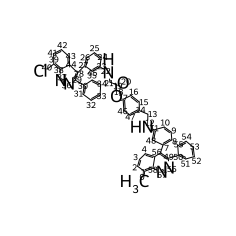 Cc1cccc2c(-c3cccc(NCc4ccc(OC(=O)CNc5cccc(-c6c(-c7ccccc7)nnc7c(Cl)cccc67)c5)cc4)c3)c(-c3ccccc3)nnc12